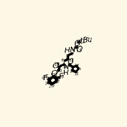 CC(C)(C)OC(=O)NCCCC[C@H](NC(=O)C1CCCC1)C(=O)COc1c(F)cccc1F